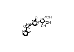 Cc1cccnc1C(=O)ONc1ccn([C@@H]2O[C@H](CO)[C@@H](O)[C@H]2O)c(=O)n1